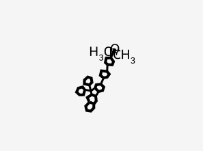 CP(C)(=O)c1ccc(-c2ccc(-c3ccc4c(c3)C(c3ccccc3)(c3ccccc3)c3cc5ccccc5cc3-4)cc2)cc1